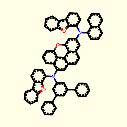 c1ccc(-c2cc(-c3ccccc3)cc(N(c3cc4ccc5cc(N(c6cccc7ccccc67)c6cccc7c6oc6ccccc67)cc6c5c4c4c(cccc34)O6)c3cccc4c3oc3ccccc34)c2)cc1